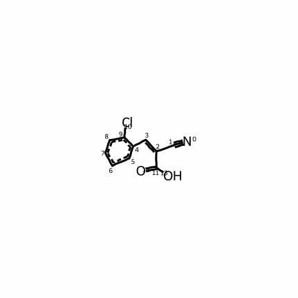 N#CC(=Cc1ccccc1Cl)C(=O)O